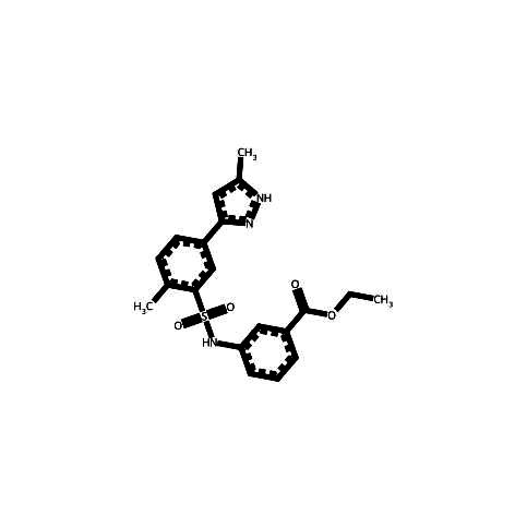 CCOC(=O)c1cccc(NS(=O)(=O)c2cc(-c3cc(C)[nH]n3)ccc2C)c1